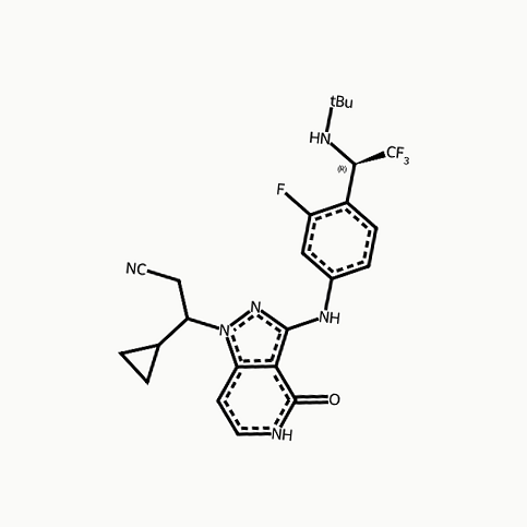 CC(C)(C)N[C@H](c1ccc(Nc2nn(C(CC#N)C3CC3)c3cc[nH]c(=O)c23)cc1F)C(F)(F)F